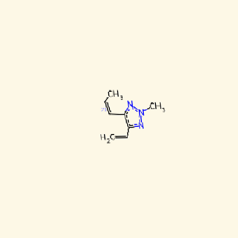 C=Cc1nn(C)nc1/C=C\C